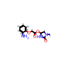 CN1CC(OC(=O)COc2ccccc2N)NC1=O